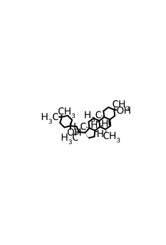 C[C@H](CC1(O)CCC(C)(C)CC1)[C@H]1CC[C@H]2[C@@H]3[C@@H](C)C=C4C[C@@](C)(O)CC[C@]4(C)[C@H]3CC[C@]12C